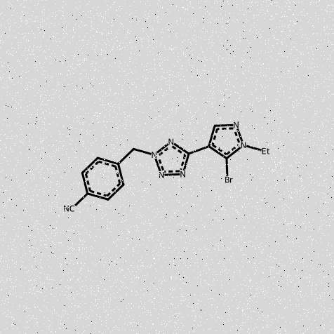 CCn1ncc(-c2nnn(Cc3ccc(C#N)cc3)n2)c1Br